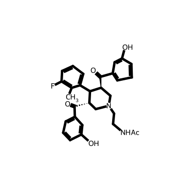 CC(=O)NCCN1C[C@H](C(=O)c2cccc(O)c2)C(c2cccc(F)c2C)[C@@H](C(=O)c2cccc(O)c2)C1